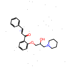 O=C(/C=C/c1ccccc1)c1ccccc1OCC(O)CN1CCCCC1